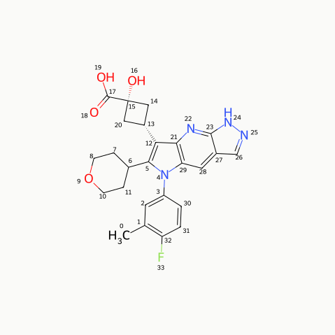 Cc1cc(-n2c(C3CCOCC3)c([C@H]3C[C@](O)(C(=O)O)C3)c3nc4[nH]ncc4cc32)ccc1F